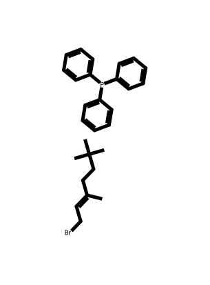 C/C(=C\CBr)CCC(C)(C)C.c1ccc(P(c2ccccc2)c2ccccc2)cc1